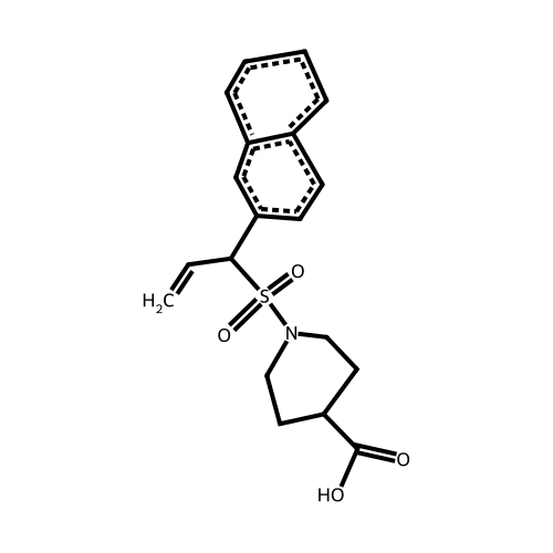 C=CC(c1ccc2ccccc2c1)S(=O)(=O)N1CCC(C(=O)O)CC1